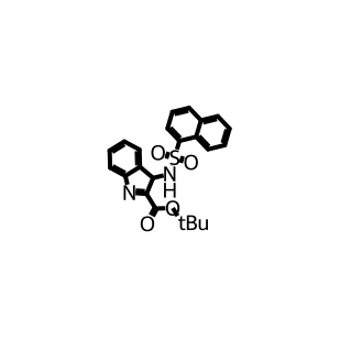 CC(C)(C)OC(=O)C1=Nc2ccccc2C1NS(=O)(=O)c1cccc2ccccc12